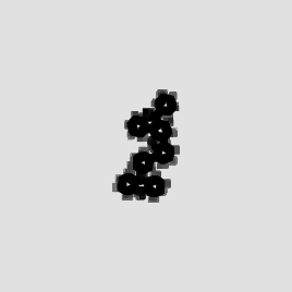 c1ccc(-c2nc3ccccc3c3c2ccc2c4cccc(-c5cccc(N6c7ccccc7Sc7ccccc76)c5)c4sc23)cc1